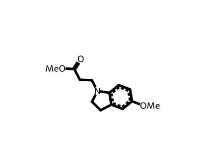 COC(=O)CCN1CCc2cc(OC)ccc21